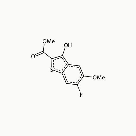 COC(=O)c1sc2cc(F)c(OC)cc2c1O